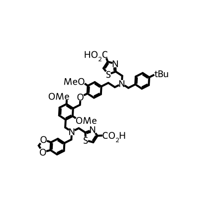 COc1cc(CCN(Cc2ccc(C(C)(C)C)cc2)Cc2nc(C(=O)O)cs2)ccc1OCc1c(OC)ccc(CN(Cc2ccc3c(c2)OCO3)Cc2nc(C(=O)O)cs2)c1OC